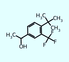 C[C](O)c1ccc(C(C)(C)C)c(C(F)(F)F)c1